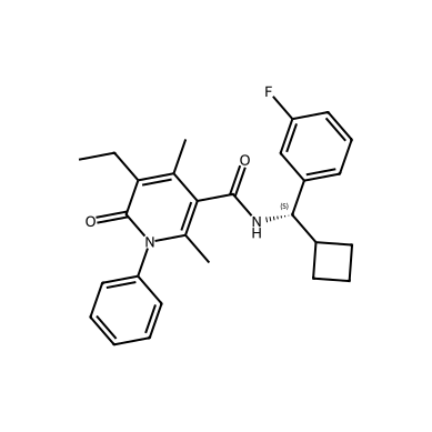 CCc1c(C)c(C(=O)N[C@H](c2cccc(F)c2)C2CCC2)c(C)n(-c2ccccc2)c1=O